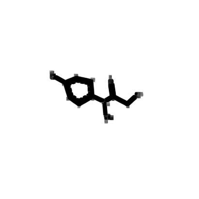 CC(C)(C)N(C(=O)CCl)c1ccc(Cl)cc1